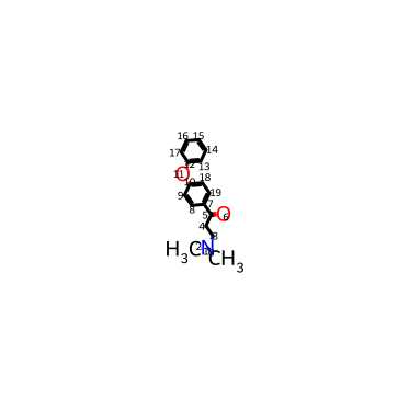 CN(C)CCC(=O)c1ccc(Oc2ccccc2)cc1